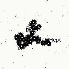 CCCCCCCC1(CCCCCCC)c2ccccc2-c2ccc(-c3ccc4c(c3)C(C)(C)c3cc(N(c5ccc(-c6c(CC)c7c(c8c6oc6ccccc68)-c6ccccc6C7(C)C)c(CC)c5)c5ccc6c(c5)C(c5ccccc5)(c5ccccc5)c5cc7c(cc5-6)C(c5ccccc5)(c5ccccc5)c5ccc6oc8ccccc8c6c5-7)ccc3-4)cc21